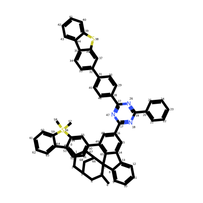 CCC1CC2CC(C)C3(c4ccccc4-c4cc(-c5nc(-c6ccccc6)nc(-c6ccc(-c7ccc8c(c7)sc7ccccc78)cc6)n5)cc(-c5ccc6c(c5)S(C)(C)c5ccccc5-6)c43)C(C1)C2